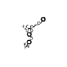 CC(Oc1ccc(Oc2ccc(C(F)(F)F)cc2)cc1)C(=O)OCCCOCc1ccccc1